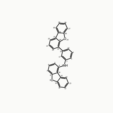 c1cc(Nc2cccc3oc4ccccc4c23)cc(-c2cccc3c2oc2ccccc23)c1